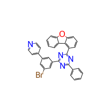 Brc1cc(-c2ccncc2)cc(-c2nc(-c3ccccc3)nc(-c3cccc4oc5ccccc5c34)n2)c1